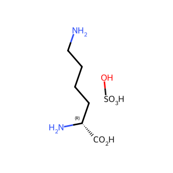 NCCCC[C@@H](N)C(=O)O.O=S(=O)(O)O